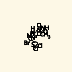 CC1(C)C(=O)NC(=O)N1CCNc1ncc(Br)c(-c2cc(Cl)c(Cl)s2)n1